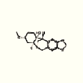 CO[C@@H]1C=C[C@]2(O)[C@H](C1)N1Cc3cc4c(cc3[C@@H]2C1)OCO4